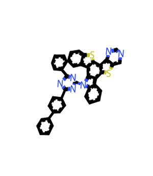 c1ccc(-c2ccc(-c3nc(-c4ccccc4)nc(-n4c5ccccc5c5c6sc7cncnc7c6c6sc7ccccc7c6c54)n3)cc2)cc1